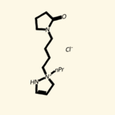 CCC[N+]1(CCCCN2CCCC2=O)CC=CN1.[Cl-]